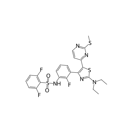 CCN(CC)c1nc(-c2cccc(NS(=O)(=O)c3c(F)cccc3F)c2F)c(-c2ccnc(SC)n2)s1